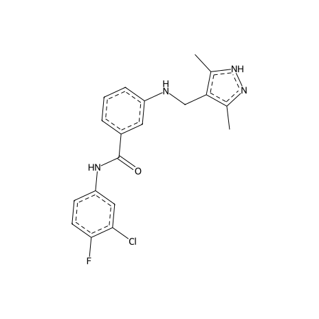 Cc1n[nH]c(C)c1CNc1cccc(C(=O)Nc2ccc(F)c(Cl)c2)c1